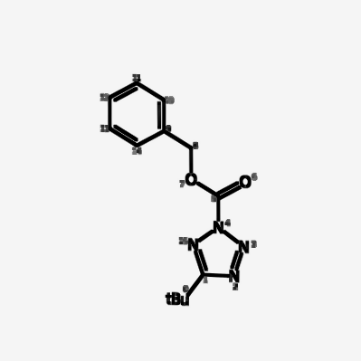 CC(C)(C)c1nnn(C(=O)OCc2ccccc2)n1